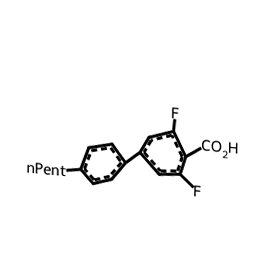 CCCCCc1ccc(-c2cc(F)c(C(=O)O)c(F)c2)cc1